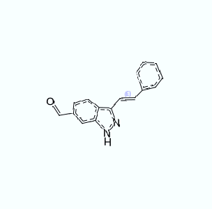 O=Cc1ccc2c(/C=C/c3ccccc3)n[nH]c2c1